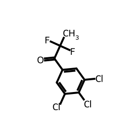 CC(F)(F)C(=O)c1cc(Cl)c(Cl)c(Cl)c1